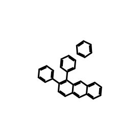 c1ccc(-c2ccc3cc4ccccc4cc3c2-c2ccccc2)cc1.c1ccccc1